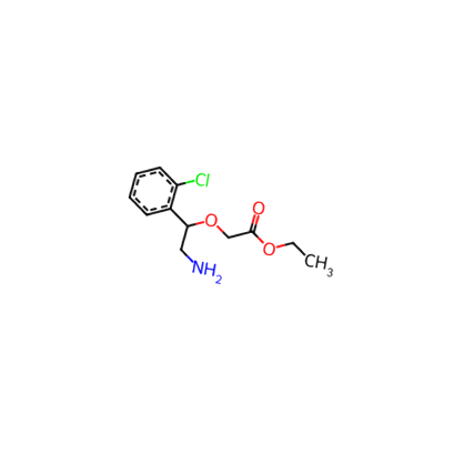 CCOC(=O)COC(CN)c1ccccc1Cl